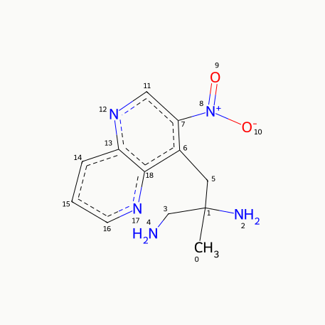 CC(N)(CN)Cc1c([N+](=O)[O-])cnc2cccnc12